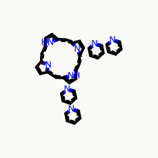 C1=Cc2cc3ccc(cc4nc(cc5ccc(cc1n2)[nH]5)C=C4)[nH]3.c1ccncc1.c1ccncc1.c1ccncc1.c1ccncc1